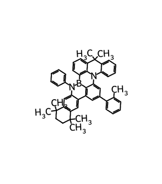 Cc1ccccc1-c1cc2c3c(c1)N1c4ccccc4C(C)(C)c4cccc(c41)B3N(c1ccccc1)c1cc3c(cc1-2)C(C)(C)CCC3(C)C